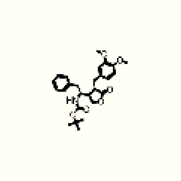 COc1ccc(C[C@H]2C(=O)OCC2[C@H](Cc2ccccc2)NC(=O)OC(C)(C)C)cc1OC